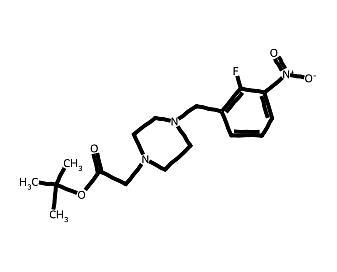 CC(C)(C)OC(=O)CN1CCN(Cc2cccc([N+](=O)[O-])c2F)CC1